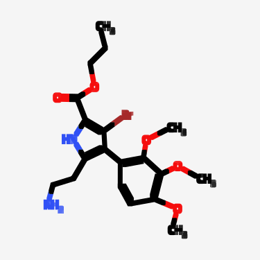 CCCOC(=O)c1[nH]c(CCN)c(-c2ccc(OC)c(OC)c2OC)c1Br